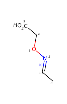 C/[C]=N/OCC(=O)O